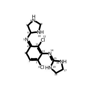 ClC1=CCC(=NC2CNCN2)C(Cl)=C1N=C1NCCN1